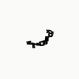 CC1(C)CCC(C)(C)c2cc(-c3csc(N4CCN(CCNCCO)CC4)n3)ccc21